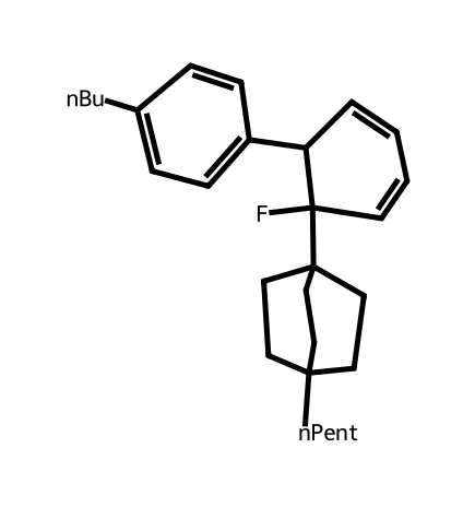 CCCCCC12CCC(C3(F)C=CC=CC3c3ccc(CCCC)cc3)(CC1)CC2